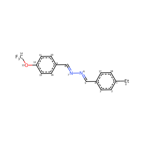 CCc1ccc(C=NN=Cc2ccc(OC(F)(F)F)cc2)cc1